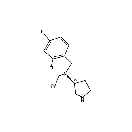 CC(C)CN(Cc1ccc(F)cc1Cl)[C@H]1CCNC1